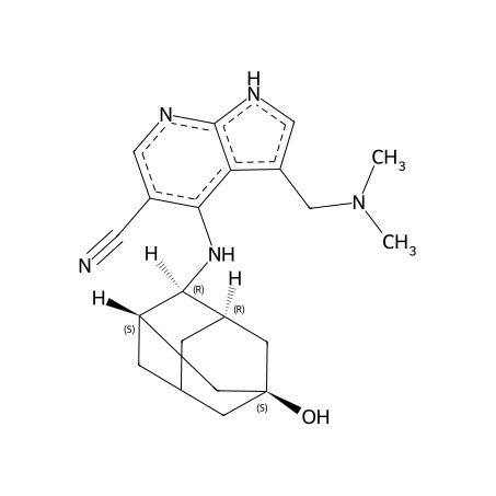 CN(C)Cc1c[nH]c2ncc(C#N)c(N[C@H]3[C@@H]4CC5C[C@H]3C[C@@](O)(C5)C4)c12